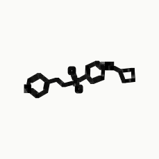 O=S(=O)(CCc1ccncc1)c1ccc(NC2CCC2)cc1